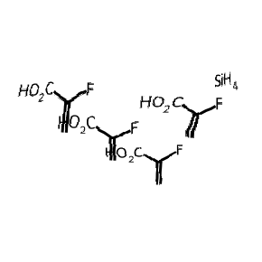 C=C(F)C(=O)O.C=C(F)C(=O)O.C=C(F)C(=O)O.C=C(F)C(=O)O.[SiH4]